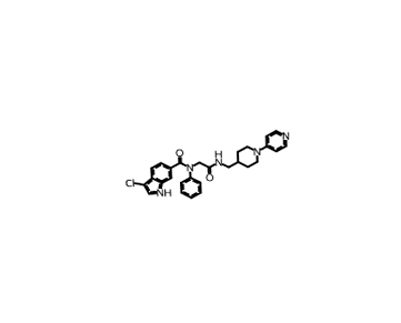 O=C(CN(C(=O)c1ccc2c(Cl)c[nH]c2c1)c1ccccc1)NCC1CCN(c2ccncc2)CC1